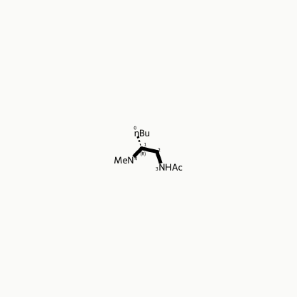 CCCC[C@H](CNC(C)=O)NC